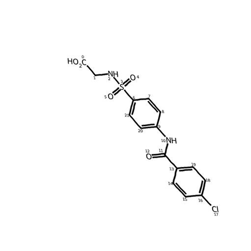 O=C(O)CNS(=O)(=O)c1ccc(NC(=O)c2ccc(Cl)cc2)cc1